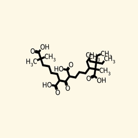 CCC(CCCC(C(=O)O)C(=O)C(CCCCC(C)(C)C(=O)O)C(=O)O)C(C)(C(=O)O)C(CC)(CC)CC